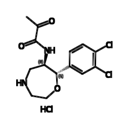 CC(=O)C(=O)N[C@@H]1CNCCO[C@H]1c1ccc(Cl)c(Cl)c1.Cl